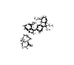 C[C@@](O)(c1ccc(-c2nc([C@H]3CC[C@@H]4COCC(=O)N4C3)n3ccnc(N)c23)cc1)c1cccc(C(F)(F)F)c1